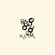 COC(=O)C1=C(C(=O)N(Cc2cccnc2)c2cc(OC(C)C)c(Cl)cc2F)CCCC1